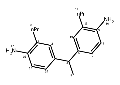 CCCc1cc(C(C)c2ccc(N)c(CCC)c2)ccc1N